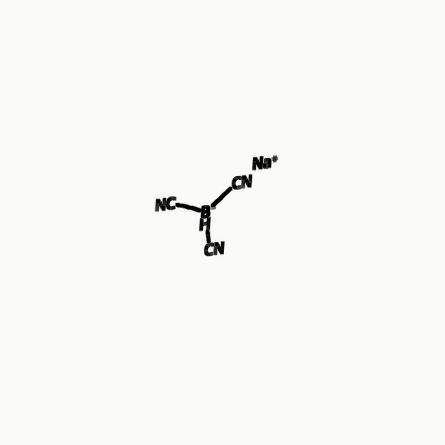 N#C[BH-](C#N)C#N.[Na+]